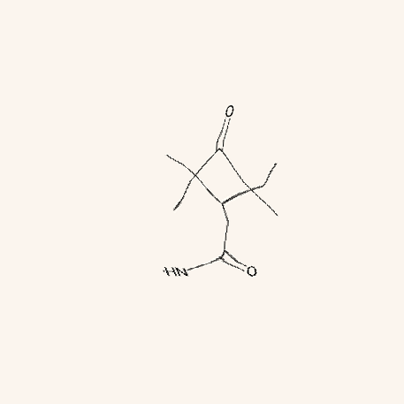 CC1(C)C(=O)C(C)(C)C1C([NH])=O